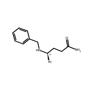 CC(=O)[C@H](CCC(N)=O)NCc1ccccc1